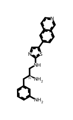 Nc1cccc(C[C@H](N)CNc2ncc(-c3ccc4cnccc4c3)s2)c1